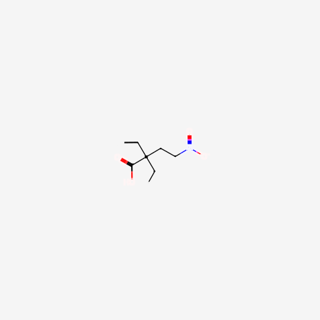 CCC(CC)(CC[N+](=O)[O-])C(=O)O